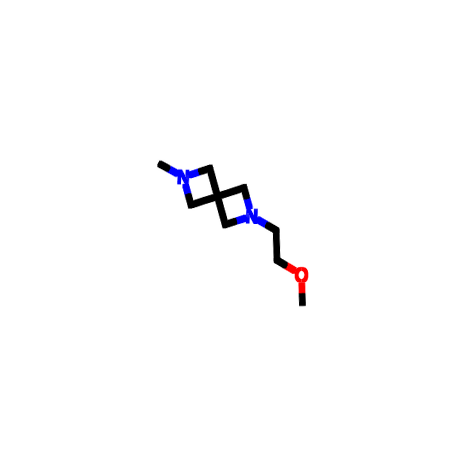 COCCN1CC2(CN(C)C2)C1